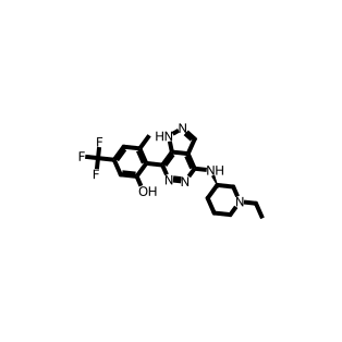 CCN1CCC[C@@H](Nc2nnc(-c3c(C)cc(C(F)(F)F)cc3O)c3[nH]ncc23)C1